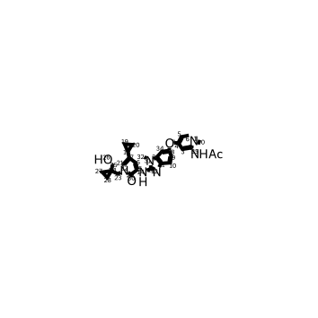 C=N/C(=C\C(=C/C)Oc1ccc2nc(Nc3cc(C4CC4)cn(CC4(CO)CC4)c3=O)n(C)c2c1)NC(C)=O